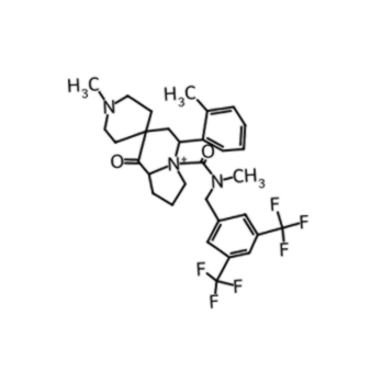 Cc1ccccc1C1CC2(CCN(C)CC2)C(=O)C2CCC[N+]21C(=O)N(C)Cc1cc(C(F)(F)F)cc(C(F)(F)F)c1